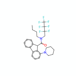 CCCCN(CC(F)(F)C(F)(F)C(F)(F)F)C(=O)C1c2ccccc2-c2cccc(N3CCCCC3)c21